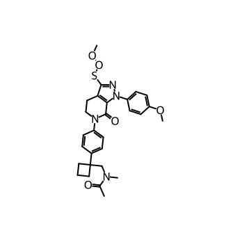 COOSc1nn(-c2ccc(OC)cc2)c2c1CCN(c1ccc(C3(CN(C)C(C)=O)CCC3)cc1)C2=O